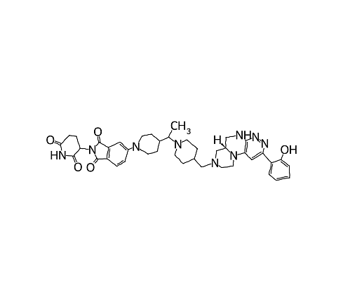 CC(C1CCN(c2ccc3c(c2)C(=O)N(C2CCC(=O)NC2=O)C3=O)CC1)N1CCC(CN2CCN3c4cc(-c5ccccc5O)nnc4NC[C@H]3C2)CC1